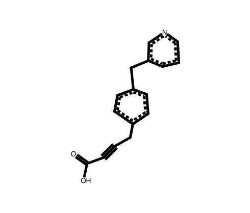 O=C(O)C#CCc1ccc(Cc2cccnc2)cc1